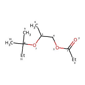 CCC(=O)OCC(C)OC(C)(C)CC